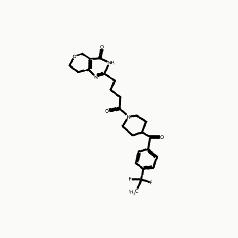 CC(F)(F)c1ccc(C(=O)C2CCN(C(=O)CCCc3nc4c(c(=O)[nH]3)COCC4)CC2)cc1